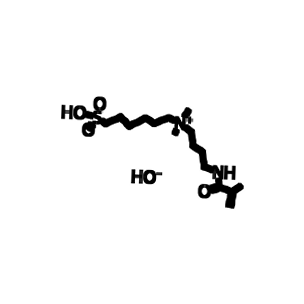 C=C(C)C(=O)NCCCC[N+](C)(C)CCCCCCS(=O)(=O)O.[OH-]